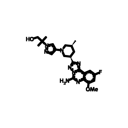 COc1cc(F)cc2c1nc(N)n1nc([C@H]3C[C@@H](C)CN(c4cnn(C(C)(C)CO)c4)C3)nc21